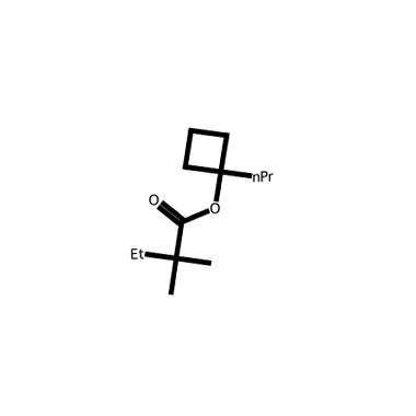 CCCC1(OC(=O)C(C)(C)CC)CCC1